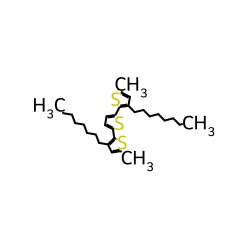 CCCCCCCCc1cc(C)sc1-c1ccc(-c2sc(C)cc2CCCCCCCC)s1